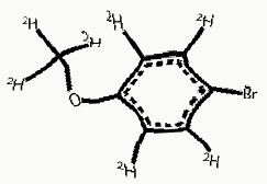 [2H]c1c([2H])c(OC([2H])([2H])[2H])c([2H])c([2H])c1Br